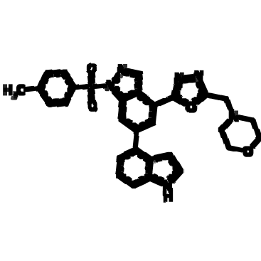 Cc1ccc(S(=O)(=O)n2ncc3c(-c4nnc(CN5CCOCC5)o4)cc(-c4cccc5[nH]ccc45)cc32)cc1